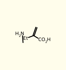 C=C(CC)C(=O)O.CN